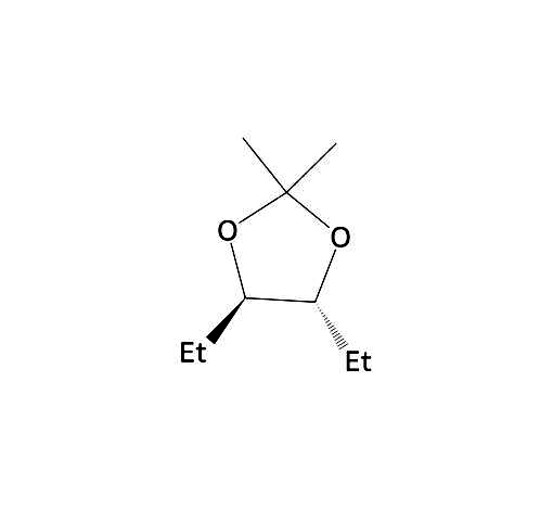 CC[C@H]1OC(C)(C)O[C@@H]1CC